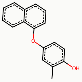 Cc1cc(Oc2cccc3ccccc23)ccc1O